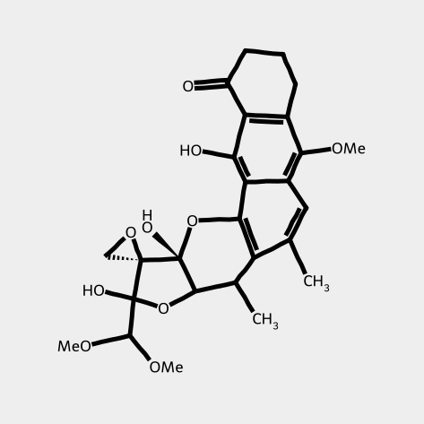 COc1c2c(c(O)c3c4c(c(C)cc13)C(C)C1OC(O)(C(OC)OC)[C@]3(CO3)[C@]1(O)O4)C(=O)CCC2